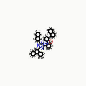 c1ccc2cc(C3=NC(c4cc5ccccc5c5ccccc45)=NC(c4cccc5oc6c(-c7cccc8ccccc78)cccc6c45)N3)ccc2c1